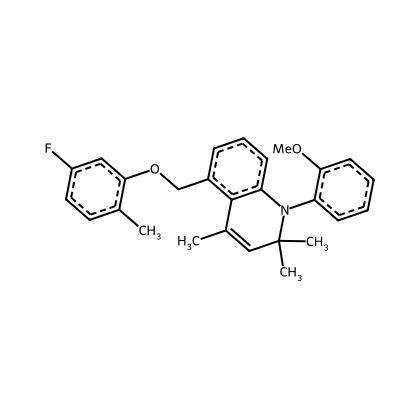 COc1ccccc1N1c2cccc(COc3cc(F)ccc3C)c2C(C)=CC1(C)C